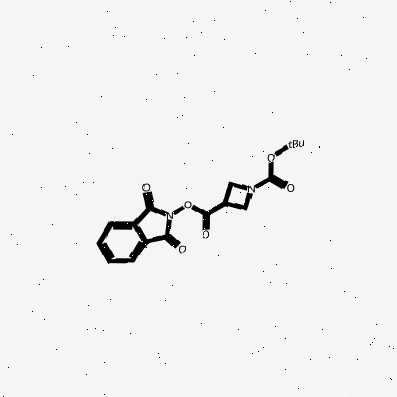 CC(C)(C)OC(=O)N1CC(C(=O)ON2C(=O)c3ccccc3C2=O)C1